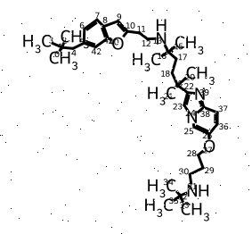 CC(C)(C)Cc1ccc2cc(CCNC(C)(C)CCC(C)(C)c3cn4cc(OCCCNC(C)(C)C)ccc4n3)oc2c1